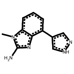 Cn1c(N)nc2c(-c3cn[nH]c3)cccc21